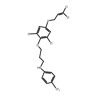 FC(F)(F)c1ccc(NCCCOc2c(Cl)cc(OCC=C(Cl)Cl)cc2Cl)cc1